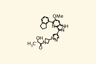 COc1cc2[nH]nc(-c3cnn(C4CN(C(=O)[C@H](C)O)C4)c3)c2nc1-c1cccc2c1CCC2